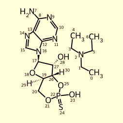 CCN(CC)CC.Nc1ncnc2c1ncn2[C@@H]1O[C@@H]2COP(O)(=S)O[C@H]2[C@H]1O